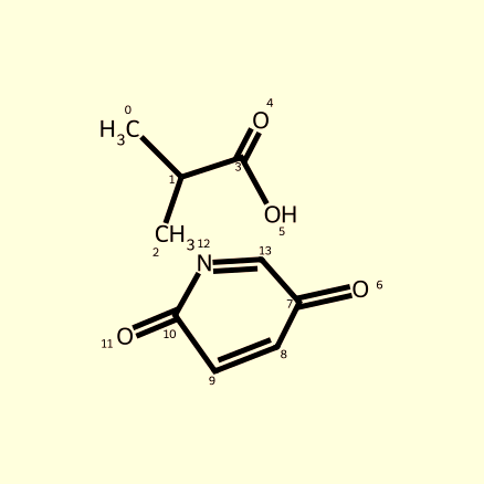 CC(C)C(=O)O.O=C1C=CC(=O)N=C1